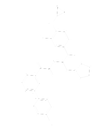 O=C(NC(CN1CCCC1)C(O)c1ccc(OC2CC2)c(Cl)c1)C(=O)c1cccc(-c2ccc(F)cc2)c1